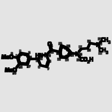 COc1ccc(C2CC=CN(C(=O)c3ccc(N(CCCN(C)C)C(=O)O)cc3)N2)cc1OC